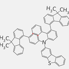 CC1(C)c2ccccc2-c2c(-c3ccc(N(c4ccc5sc6ccccc6c5c4)c4cccc(-c5cccc6c5-c5ccccc5C6(C)C)c4-c4ccccc4)cc3)cccc21